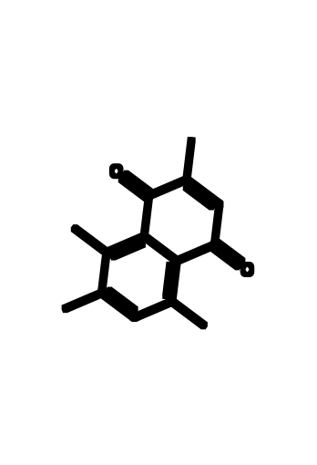 CC1=CC(=O)c2c(C)cc(C)c(C)c2C1=O